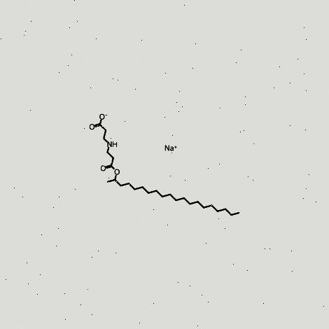 CCCCCCCCCCCCCCCCCCC(C)OC(=O)CCNCCC(=O)[O-].[Na+]